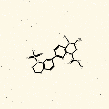 CC(=O)N1c2ccc(-c3ccc4c(c3)N(S(C)(=O)=O)CCC4)cc2N(C(=O)OC(C)C)C[C@@H]1C